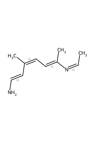 C\C=N/C(C)=C/C=C(C)\C=C\N